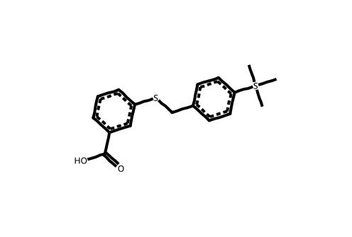 CS(C)(C)c1ccc(CSc2cccc(C(=O)O)c2)cc1